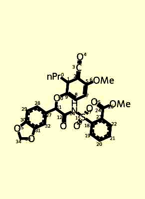 CCCC1C(=C=O)C(OC)=CC=C1OC(C(=O)NS(=O)(=O)c1ccccc1C(=O)OC)c1ccc2c(c1)OCO2